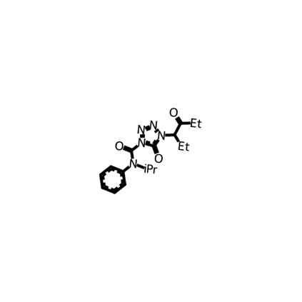 CCC(=O)C(CC)n1nnn(C(=O)N(c2ccccc2)C(C)C)c1=O